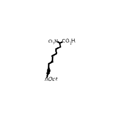 CCCCCCCCC#CCCCCCCC(C(=O)O)[N+](=O)[O-]